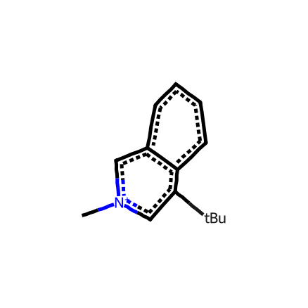 C[n+]1cc(C(C)(C)C)c2ccccc2c1